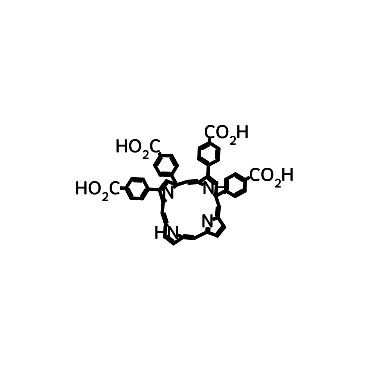 O=C(O)c1ccc(C2=CC3(c4ccc(C(=O)O)cc4)C=C4C=CC(=N4)C=c4ccc([nH]4)=CC4=NC(c5ccc(C(=O)O)cc5)(C=C2N3)C=C4c2ccc(C(=O)O)cc2)cc1